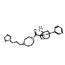 CC12CC3CC(c4ccccc4)(C1)CC2(C(=O)N1CCCN(CCCN2CCCC2)CC1)C3